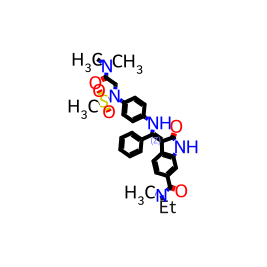 CCN(C)C(=O)c1ccc2c(c1)NC(=O)/C2=C(\Nc1ccc(N(CC(=O)N(C)C)S(C)(=O)=O)cc1)c1ccccc1